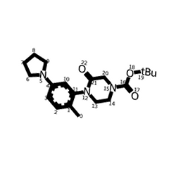 Cc1ccc(N2CCCC2)cc1N1CCN(C(=O)OC(C)(C)C)CC1=O